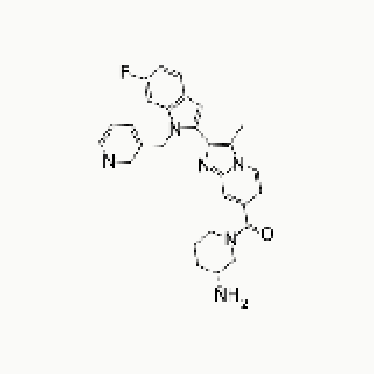 Cc1c(-c2cc3ccc(F)cc3n2Cc2cccnc2)nc2cc(C(=O)N3CCC[C@@H](N)C3)ccn12